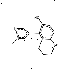 Cn1cc(-c2c(C#N)ccc3c2CCCN3)cn1